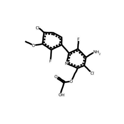 COc1c(Cl)ccc(-c2nc(OC(=O)O)c(Cl)c(N)c2F)c1F